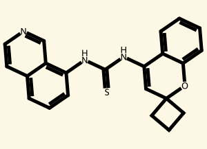 S=C(NC1=CC2(CCC2)Oc2ccccc21)Nc1cccc2ccncc12